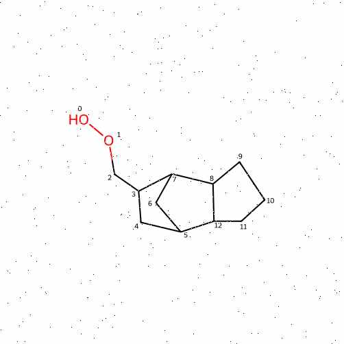 OOCC1CC2CC1C1CCCC21